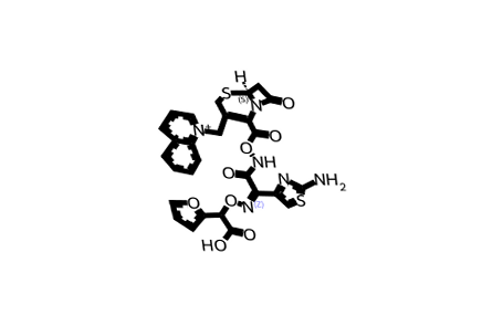 Nc1nc(/C(=N/OC(C(=O)O)c2ccco2)C(=O)NOC(=O)C2=C(C[n+]3cccc4ccccc43)CS[C@H]3CC(=O)N23)cs1